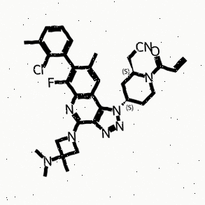 C=CC(=O)N1CC[C@H](n2nnc3c(N4CC(C)(N(C)C)C4)nc4c(F)c(-c5cccc(C)c5Cl)c(C)cc4c32)C[C@H]1CC#N